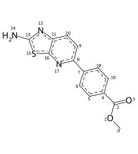 COC(=O)c1ccc(-c2ccc3nc(N)sc3n2)cc1